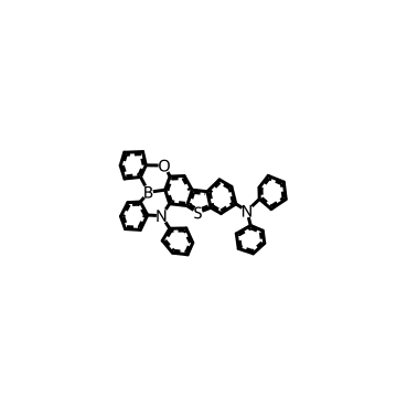 c1ccc(N(c2ccccc2)c2ccc3c(c2)sc2c4c5c(cc23)Oc2ccccc2B5c2ccccc2N4c2ccccc2)cc1